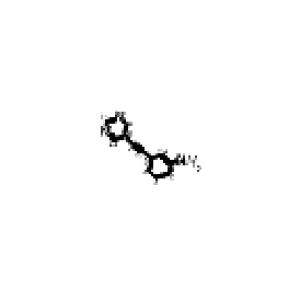 Nc1cccc(C#Cc2cncnc2)c1